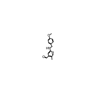 COc1ccc(CNc2cc(C=O)c(C)cn2)cc1